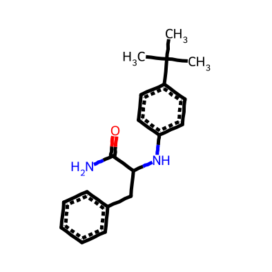 CC(C)(C)c1ccc(NC(Cc2ccccc2)C(N)=O)cc1